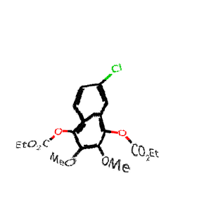 CCOC(=O)Oc1c(OC)c(OC)c(OC(=O)OCC)c2cc(Cl)ccc12